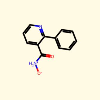 O=C([NH2+][O-])c1cccnc1-c1ccccc1